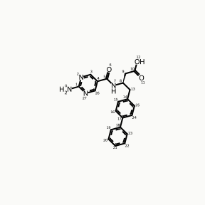 Nc1ncc(C(=O)N[C@@H](CC(=O)O)Cc2ccc(-c3ccccc3)cc2)cn1